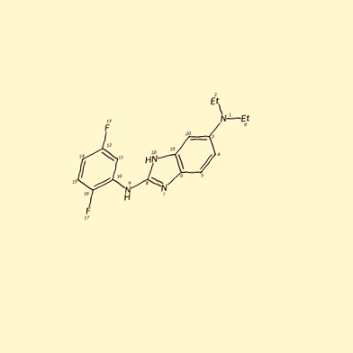 CCN(CC)c1ccc2nc(Nc3cc(F)ccc3F)[nH]c2c1